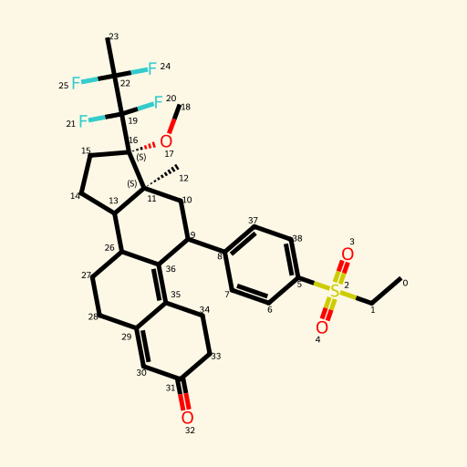 CCS(=O)(=O)c1ccc(C2C[C@@]3(C)C(CC[C@@]3(OC)C(F)(F)C(C)(F)F)C3CCC4=CC(=O)CCC4=C23)cc1